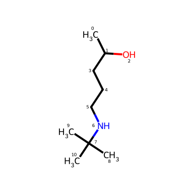 CC(O)CCCNC(C)(C)C